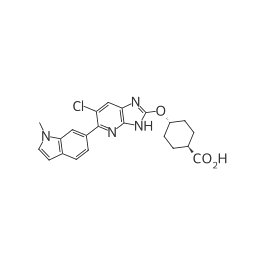 Cn1ccc2ccc(-c3nc4[nH]c(O[C@H]5CC[C@H](C(=O)O)CC5)nc4cc3Cl)cc21